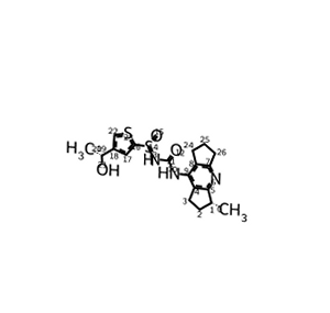 C[C@@H]1CCc2c1nc1c(c2NC(=O)/N=[SH](=O)/c2cc([C@@H](C)O)cs2)CCC1